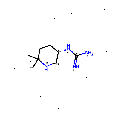 CC1(C)CC[C@H](NC(=N)N)CN1